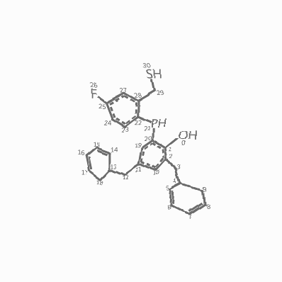 Oc1c(CC2C=CC=CC2)cc(CC2C=CC=CC2)cc1Pc1ccc(F)cc1CS